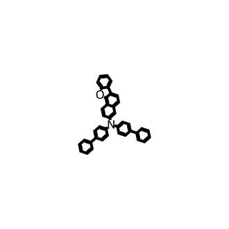 c1ccc(-c2ccc(N(c3ccc(-c4ccccc4)cc3)c3ccc4c(ccc5c6ccccc6oc45)c3)cc2)cc1